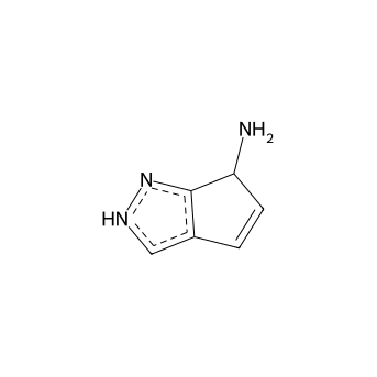 NC1C=Cc2c[nH]nc21